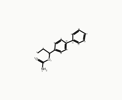 CCC(OC(N)=O)c1ccc(-c2ccccc2)cc1